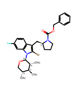 CC(=O)O[C@@H]1[C@@H](OC(C)=O)[C@H](OC(C)=O)CO[C@H]1n1c(Br)c(C[C@@H]2CCCN2C(=O)OCc2ccccc2)c2ccc(F)cc21